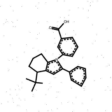 CC(C)(C)C1CCCc2c1cc(-c1ccccc1)n2-c1cccc(C(=O)O)c1